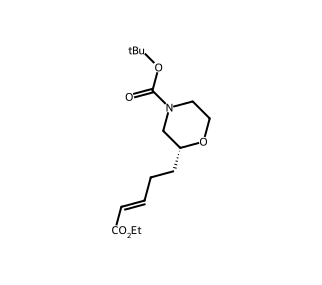 CCOC(=O)/C=C/CC[C@@H]1CN(C(=O)OC(C)(C)C)CCO1